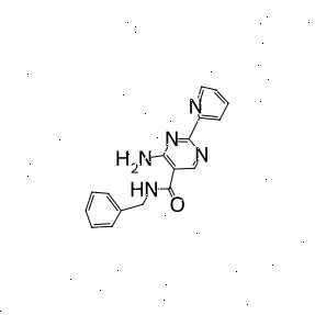 Nc1nc(-c2ccccn2)ncc1C(=O)NCc1ccccc1